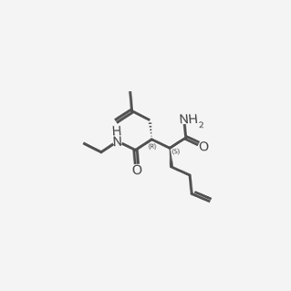 C=CCC[C@H](C(N)=O)[C@@H](CC(=C)C)C(=O)NCC